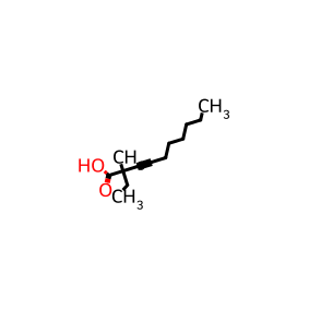 CCCCCCC#CC(C)(CC)C(=O)O